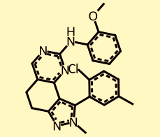 COc1ccccc1Nc1ncc2c(n1)-c1c(nn(C)c1-c1cc(C)ccc1Cl)CC2